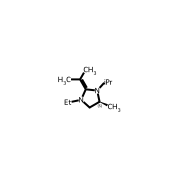 CCN1C[C@H](C)N(C(C)C)C1=C(C)C